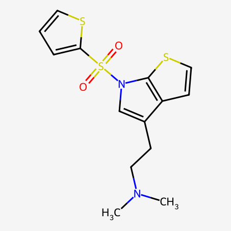 CN(C)CCc1cn(S(=O)(=O)c2cccs2)c2sccc12